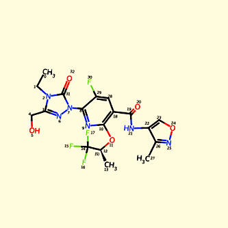 CCn1c(CO)nn(-c2nc(O[C@@H](C)C(F)(F)F)c(C(=O)Nc3conc3C)cc2F)c1=O